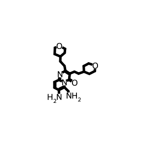 NCc1c(N)ccc2nc(CCC3CCOCC3)c(CCC3CCOCC3)c(=O)n12